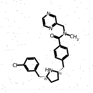 CN(Cc1cnccn1)C(=O)c1ccc(C[C@@H]2CC[C@H](Cc3cccc(Cl)c3)N2)cc1